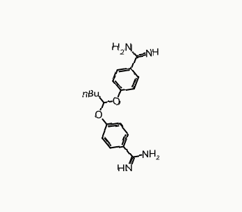 CCCCC(Oc1ccc(C(=N)N)cc1)Oc1ccc(C(=N)N)cc1